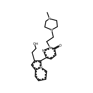 CN1CCN(CCn2nc(-c3c(CCO)cc4ccccn34)ccc2=O)CC1